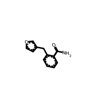 NC(=O)c1ccccc1Cc1ccoc1